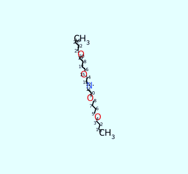 CCCCOCCCCOCC[N]CCOCCCCOCCCC